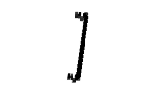 C=CCCCCCCCCCCCCCCCCCCCCCCCCCCCCCCC